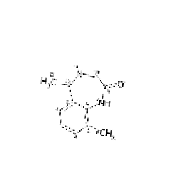 Cc1cccc2c1NC(=O)C=NC2C